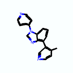 Cc1ccncc1-c1cccc2c1ncn2-c1ccncc1